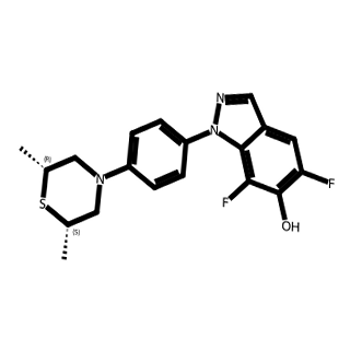 C[C@@H]1CN(c2ccc(-n3ncc4cc(F)c(O)c(F)c43)cc2)C[C@H](C)S1